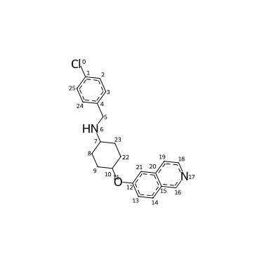 Clc1ccc(CNC2CCC(Oc3ccc4cnccc4c3)CC2)cc1